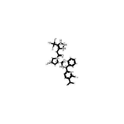 CC(C)c1ccc([C@@H](NC(=O)[C@@H]2C[C@@H](F)CN2C(=O)CC2=C(C(F)(F)F)NNN2)c2ccccc2)nc1F